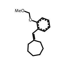 COCOc1ccccc1C=C1CCCCCC1